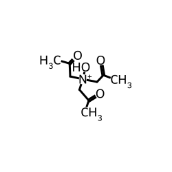 CC(=O)C[N+](O)(CC(C)=O)CC(C)=O